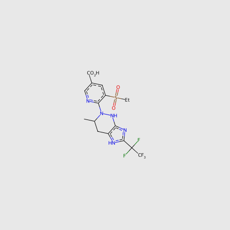 CCS(=O)(=O)c1cc(C(=O)O)cnc1N1Nc2nc(C(F)(F)C(F)(F)F)[nH]c2CC1C